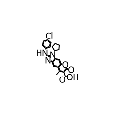 Cc1c(C(=O)O)c(=O)oc2cc3c(cc12)nc(Nc1ccc(Cl)cc1)n3C1CCCC1